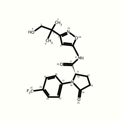 CC(C)(CO)c1cc(NC(=O)[C@@H]2CCC(=O)N2c2ccc(C(F)(F)F)cc2)on1